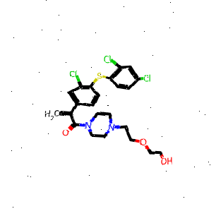 C=C(C(=O)N1CCN(CCOCCO)CC1)c1ccc(Sc2ccc(Cl)cc2Cl)c(Cl)c1